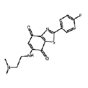 CN(C)CCNC1=CC(=O)c2nc(-c3ccc(F)cc3)sc2C1=O